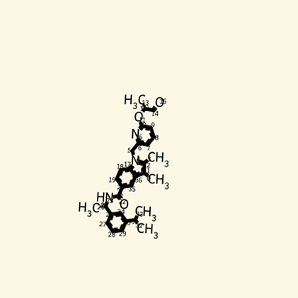 Cc1c(C)n(Cc2cccc(O[C@@H](C)C=O)n2)c2ccc(C(=O)N[C@@H](C)c3cccc(C(C)C)c3)cc12